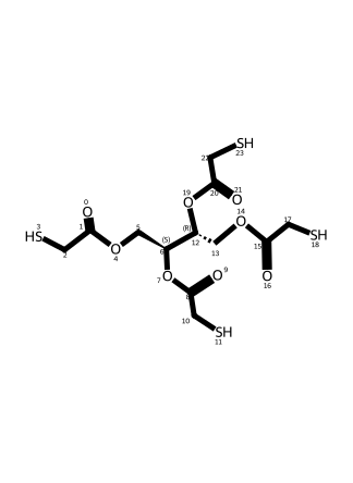 O=C(CS)OC[C@H](OC(=O)CS)[C@@H](COC(=O)CS)OC(=O)CS